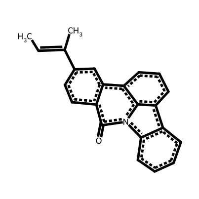 C/C=C(\C)c1ccc2c(=O)n3c4ccccc4c4cccc(c2c1)c43